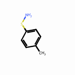 Cc1ccc(SN)cc1